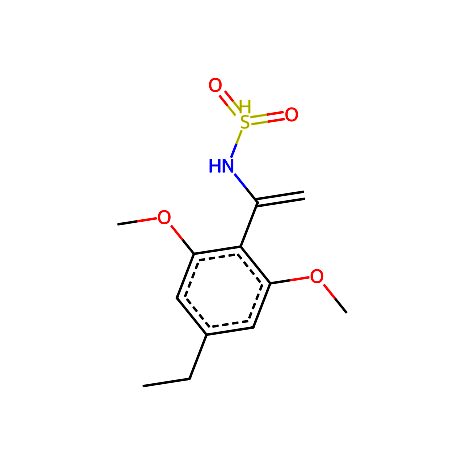 C=C(N[SH](=O)=O)c1c(OC)cc(CC)cc1OC